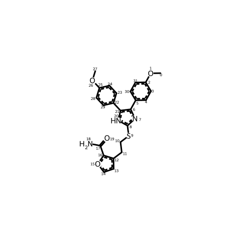 COc1ccc(-c2nc(SCCc3ccoc3C(N)=O)[nH]c2-c2ccc(OC)cc2)cc1